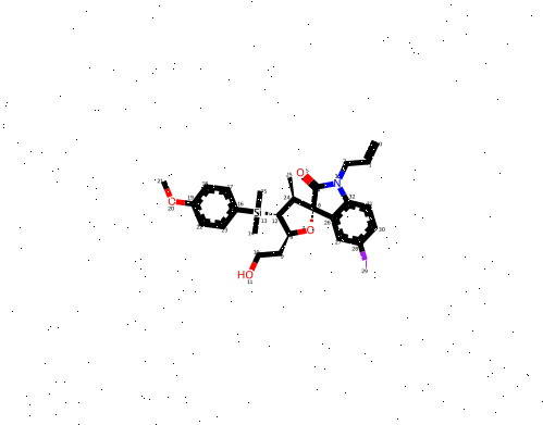 C=CCN1C(=O)[C@@]2(O[C@@H](CCO)[C@H]([Si](C)(C)c3ccc(OC)cc3)[C@H]2C)c2cc(I)ccc21